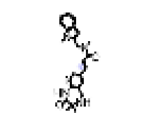 CN(Cc1cc2ccccc2n1C)C(=O)/C=C/c1cnc2c(c1)CNC(C)(C)C(=O)N2